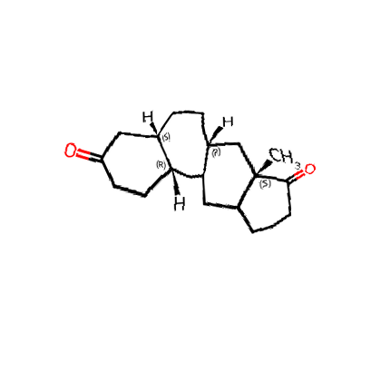 C[C@]12C[C@H]3CC[C@H]4CC(=O)CC[C@H]4C3CC1CCC2=O